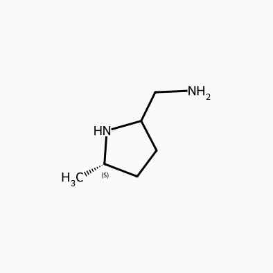 C[C@H]1CCC(CN)N1